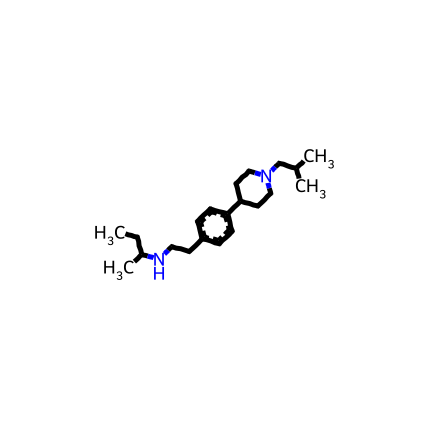 CCC(C)NCCc1ccc(C2CCN(CC(C)C)CC2)cc1